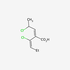 CC/C=C(Cl)\C(=C/C(C)Cl)C(=O)O